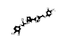 CCc1ccc(OCC(=O)NC23CC(C2)C(c2nc(COc4cnc(C(F)(F)F)c(Cl)c4)no2)C3)cc1F